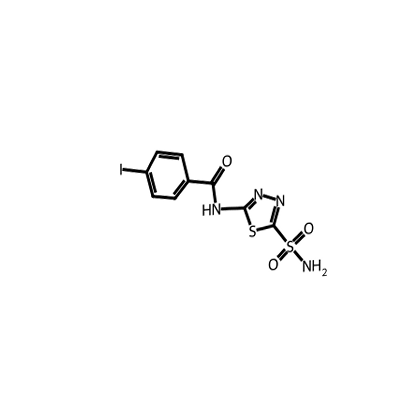 NS(=O)(=O)c1nnc(NC(=O)c2ccc(I)cc2)s1